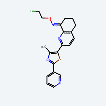 Cc1nc(-c2cccnc2)sc1-c1ccc2c(n1)/C(=N/OCCF)CCC2